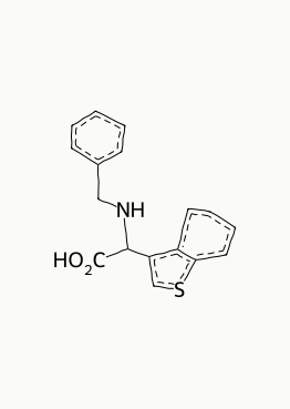 O=C(O)C(NCc1ccccc1)c1csc2ccccc12